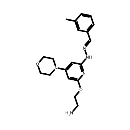 Cc1cccc(C=NNc2cc(N3CCOCC3)cc(OCCN)n2)c1